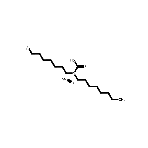 CCCCCCCCN(CCCCCCCC)C(=S)S.[O]=[Mo]